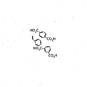 C=Cc1ccccc1.O=C(O)c1ccc(C(=O)O)cc1.O=C(O)c1cccc(C(=O)O)c1